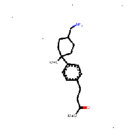 COC(=O)CCc1ccc(C2(C=O)CCC(CN)CC2)cc1